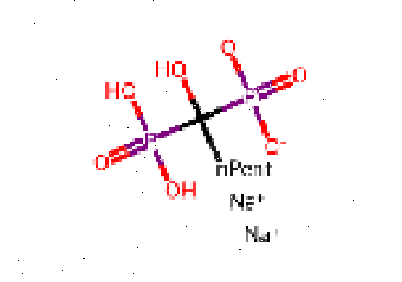 CCCCCC(O)(P(=O)([O-])[O-])P(=O)(O)O.[Na+].[Na+]